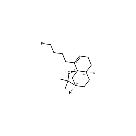 CC1(C)O[C@]23C[C@H]1CC[C@]2(C)CCC=C3CCCCF